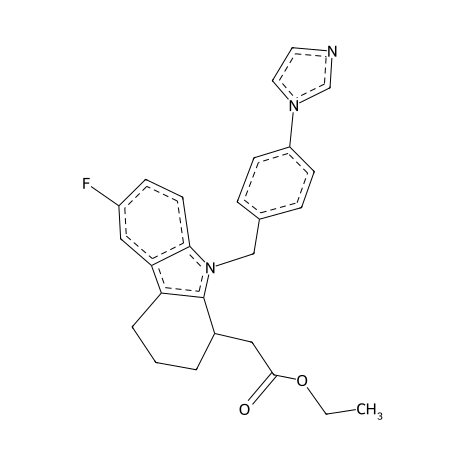 CCOC(=O)CC1CCCc2c1n(Cc1ccc(-n3ccnc3)cc1)c1ccc(F)cc21